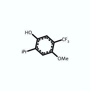 COc1cc(C(C)C)c(O)cc1C(F)(F)F